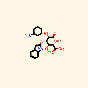 NC1CCCCC1.O=C[C@H](O)[C@@H](Oc1cc2ccccc2[nH]1)[C@H](OCl)[C@H](OBr)C(=O)O